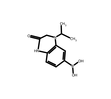 CC(C)N1CC(=O)Nc2ccc(B(O)O)cc21